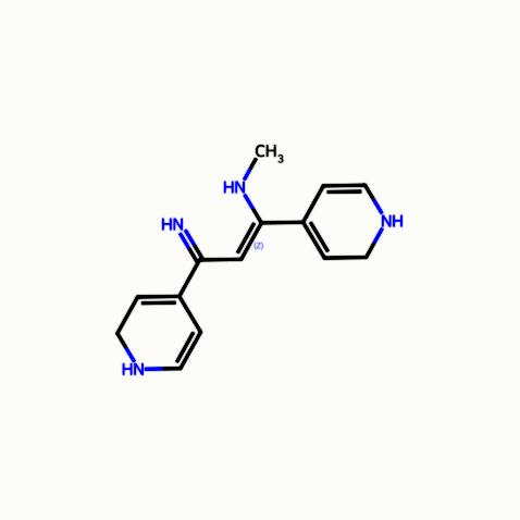 CN/C(=C\C(=N)C1=CCNC=C1)C1=CCNC=C1